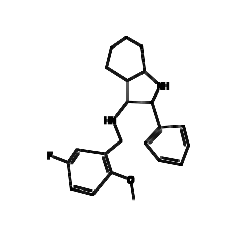 COc1ccc(F)cc1CNC1C(c2ccccc2)NC2CCCCC21